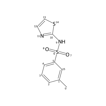 Cc1cccc(S(=O)(=O)Nc2nccs2)c1